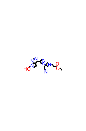 CCOC(=O)CCN1CC(CC#N)(n2cc(-c3ncnc4c3ccn4CO)cn2)C1